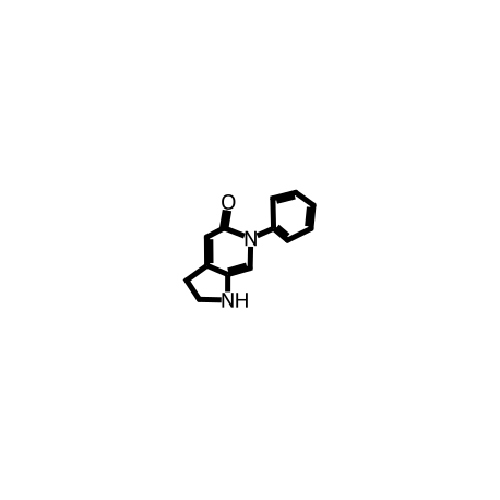 O=c1cc2c(cn1-c1ccccc1)NCC2